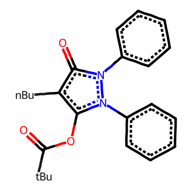 CCCCc1c(OC(=O)C(C)(C)C)n(-c2ccccc2)n(-c2ccccc2)c1=O